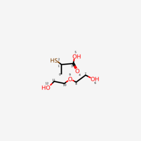 CC(S)C(=O)O.OCCOCCO